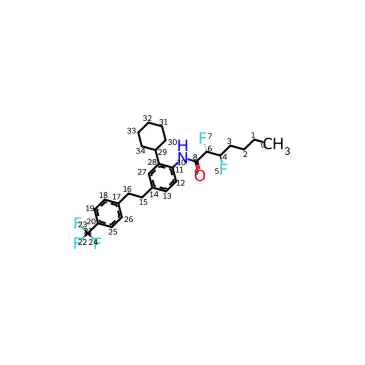 CCCC[C@@H](F)[C@@H](F)C(=O)Nc1ccc(CCc2ccc(C(F)(F)F)cc2)cc1C1CCCCC1